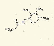 COc1ccc(/C=C/C(=O)CC(=O)O)c(OC)c1OC